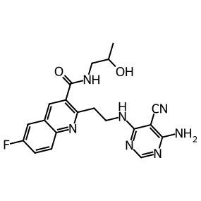 CC(O)CNC(=O)c1cc2cc(F)ccc2nc1CCNc1ncnc(N)c1C#N